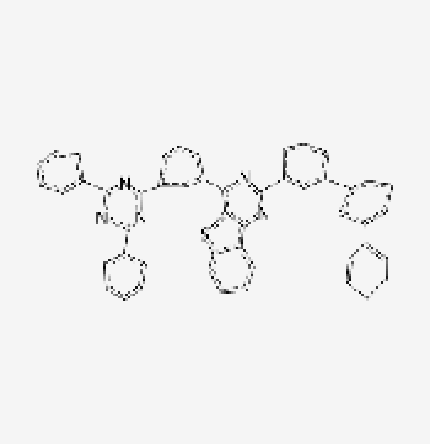 C1=CC(c2cccc(-c3cccc(-c4nc(-c5cccc(-c6nc(-c7ccccc7)nc(-c7ccccc7)n6)c5)c5sc6ccccc6c5n4)c3)c2)=CCC1